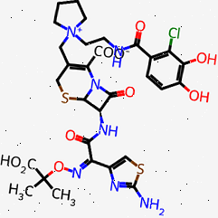 CC(C)(O/N=C(\C(=O)N[C@@H]1C(=O)N2C(C(=O)[O-])=C(C[N+]3(CCNC(=O)c4ccc(O)c(O)c4Cl)CCCC3)CSC12)c1csc(N)n1)C(=O)O